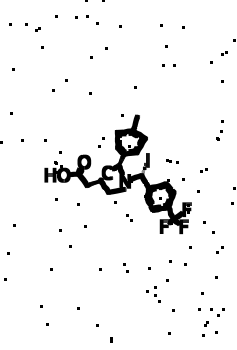 Cc1ccc([C@@H]2C[C@H](CC(=O)O)CCN2[C@H](I)c2ccc(C(F)(F)F)cc2)cc1